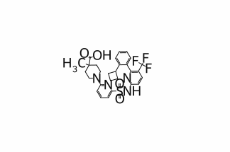 CC1(C(=O)O)CCN(c2cccc(S(=O)(=O)Nc3ccc(C(F)(F)F)c(-c4ccccc4C4CCC4)n3)n2)CC1